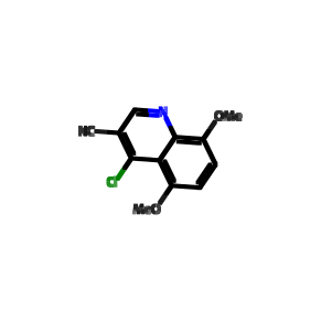 COc1ccc(OC)c2c(Cl)c(C#N)cnc12